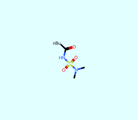 CCCCC(=O)NS(=O)(=O)N(C)C